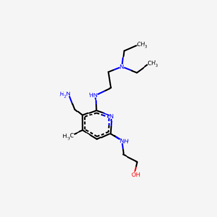 CCN(CC)CCNc1nc(NCCO)cc(C)c1CN